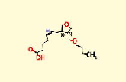 C=CCCOC[C@H]1COC[C@@H]1C/C=C\CCCC(=O)O